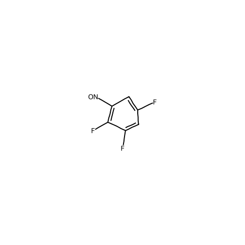 O=Nc1cc(F)cc(F)c1F